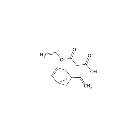 C=CC1CC2C=CC1C2.C=COC(=O)CC(=O)O